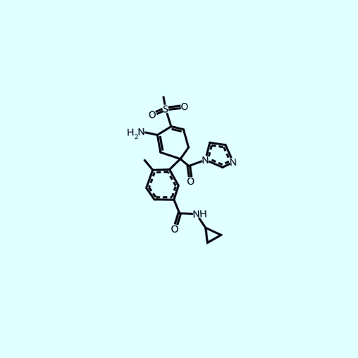 Cc1ccc(C(=O)NC2CC2)cc1C1(C(=O)n2ccnc2)C=C(N)C(S(C)(=O)=O)=CC1